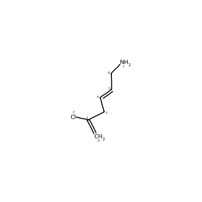 C=C(Cl)CC=CCN